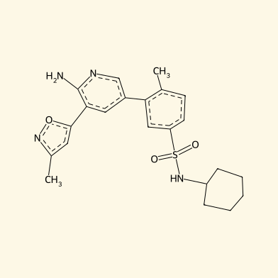 Cc1cc(-c2cc(-c3cc(S(=O)(=O)NC4CCCCC4)ccc3C)cnc2N)on1